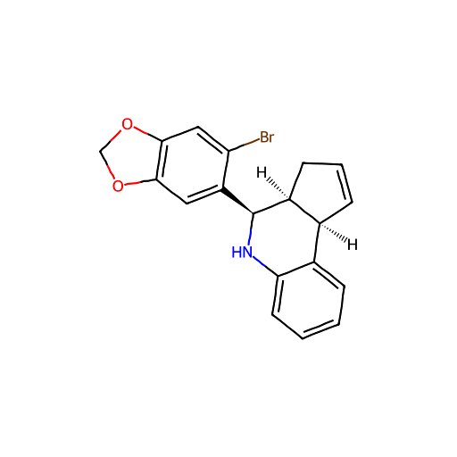 Brc1cc2c(cc1[C@@H]1Nc3ccccc3[C@@H]3C=CC[C@@H]31)OCO2